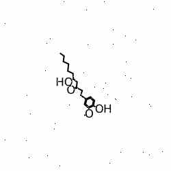 CCCCCCC(O)CC(=O)CCc1ccc(O)c(OC)c1